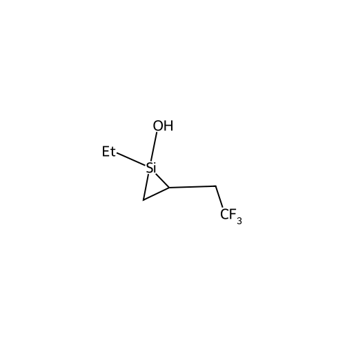 CC[Si]1(O)CC1CC(F)(F)F